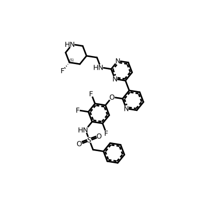 O=S(=O)(Cc1ccccc1)Nc1c(F)cc(Oc2ncccc2-c2ccnc(NCC3CNC[C@@H](F)C3)n2)c(F)c1F